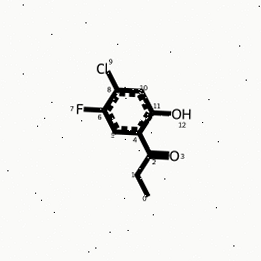 CCC(=O)c1cc(F)c(Cl)cc1O